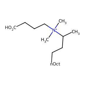 CCCCCCCCCCC(C)[N+](C)(C)CCCC(=O)O